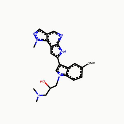 COc1ccc2c(c1)c(-c1cc3c(ncc4cnn(C)c43)[nH]1)cn2CC(O)CN(C)C